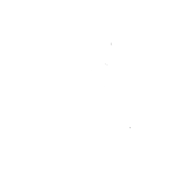 CC(C)CN(c1ccc(C(O)(Cc2ccccc2)C(F)(F)F)cc1)S(=O)(=O)c1ccccc1